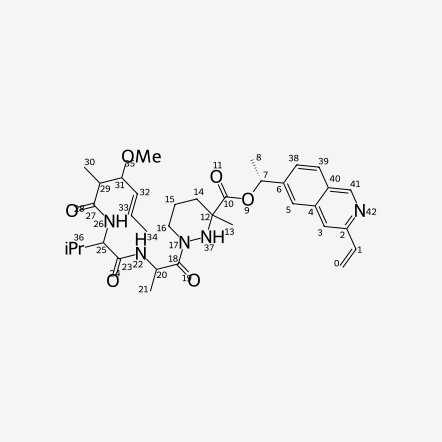 C=Cc1cc2cc([C@@H](C)OC(=O)C3(C)CCCN(C(=O)C(C)NC(=O)C(NC(=O)C(C)C(/C=C/C)OC)C(C)C)N3)ccc2cn1